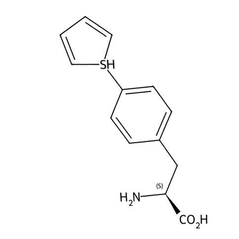 N[C@@H](Cc1ccc([SH]2C=CC=C2)cc1)C(=O)O